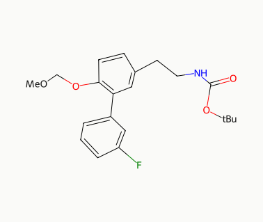 COCOc1ccc(CCNC(=O)OC(C)(C)C)cc1-c1cccc(F)c1